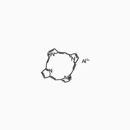 C1=Cc2cc3ccc(cc4nc(cc5ccc(cc1n2)[nH]5)C=C4)[nH]3.[Al+3]